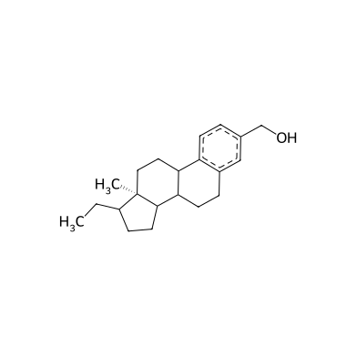 CCC1CCC2C3CCc4cc(CO)ccc4C3CC[C@]12C